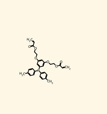 C=CC(=O)OCCOc1cc(OCCOC(=O)C=C)cc(N(c2ccc(C)cc2)c2ccc(C)cc2)c1